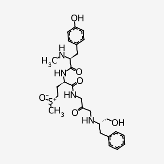 CN[C@@H](Cc1ccc(O)cc1)C(=O)N[C@H](CC[S+](C)[O-])C(=O)NCC(=O)CN[C@H](CO)Cc1ccccc1